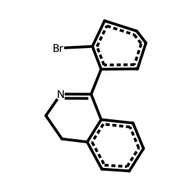 Brc1ccccc1C1=NCCc2ccccc21